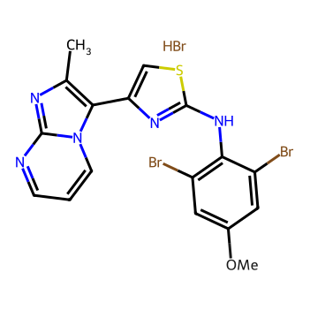 Br.COc1cc(Br)c(Nc2nc(-c3c(C)nc4ncccn34)cs2)c(Br)c1